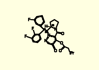 CC(C)CC(=O)Oc1c2n(ncc1=O)[C@@H]([C@H](c1cccc(F)c1)c1cccc(F)c1F)[C@H]1CCCN1C2=O